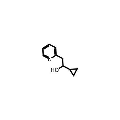 OC(Cc1ccccn1)C1CC1